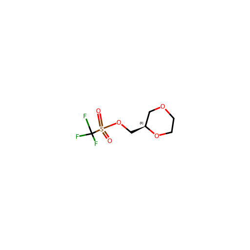 O=S(=O)(OC[C@H]1COCCO1)C(F)(F)F